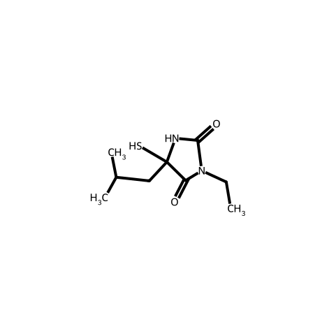 CCN1C(=O)NC(S)(CC(C)C)C1=O